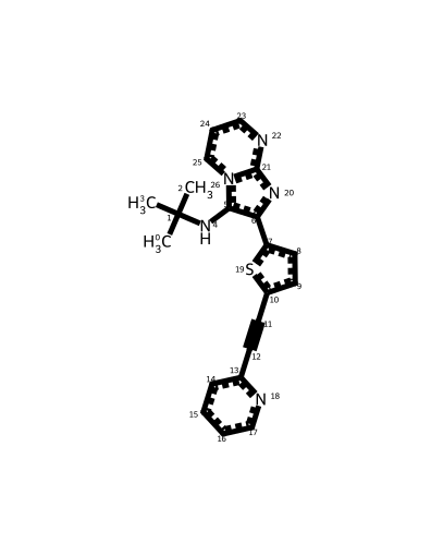 CC(C)(C)Nc1c(-c2ccc(C#Cc3ccccn3)s2)nc2ncccn12